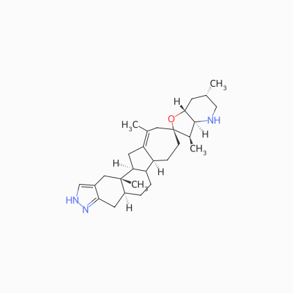 CC1=C2C[C@H]3C(CC[C@H]4Cc5n[nH]cc5C[C@@]43C)[C@@H]2CC[C@@]2(C1)O[C@@H]1C[C@H](C)CN[C@H]1[C@H]2C